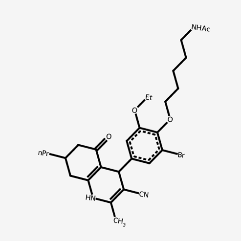 CCCC1CC(=O)C2=C(C1)NC(C)=C(C#N)C2c1cc(Br)c(OCCCCCNC(C)=O)c(OCC)c1